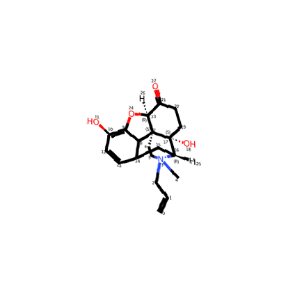 C=CC[N+]1(C)CC[C@@]23C4C5=C(O)C=CC4C[C@@H]1[C@]2(O)CCC(=O)[C@@H]3O5